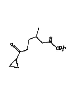 CC(CCC(=O)C1CC1)CNC(=O)O